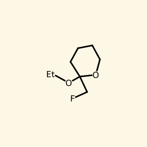 CCOC1(CF)CCCCO1